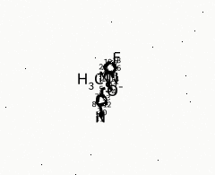 Cn1c([S+]([O-])Cc2ccc(C#N)cc2)nc2cc(F)ccc21